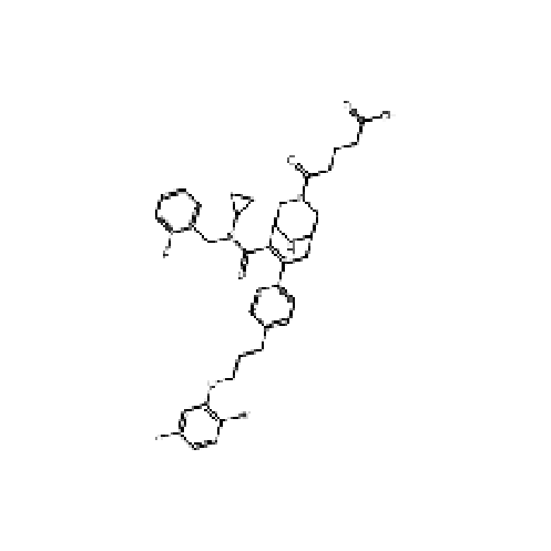 O=C(O)CCCC(=O)N1CC2CC(c3ccc(CCCOc4cc(F)ccc4Br)cc3)=C(C(=O)N(Cc3ccccc3F)C3CC3)C(C1)N2